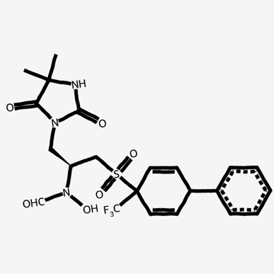 CC1(C)NC(=O)N(C[C@@H](CS(=O)(=O)C2(C(F)(F)F)C=CC(c3ccccc3)C=C2)N(O)C=O)C1=O